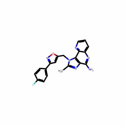 Cc1nc2c(N)nc3cccnc3c2n1Cc1cc(-c2ccc(F)cc2)no1